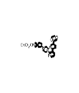 CCOC(=O)N1CC2(CC[C@@H](N3CCN(c4ncccc4-c4ccc(C5=COCCO5)cn4)CC3)C2)C1